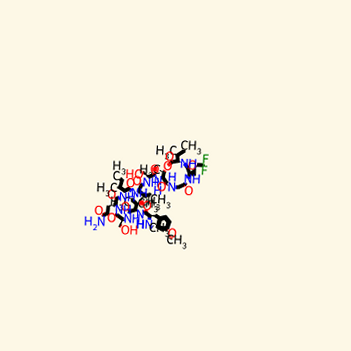 CC[C@H](C)[C@H](NC(=O)[C@@H](Cc1ccc(OC)cc1)NC)C(=O)N[C@@H](CO)C(=O)N[C@H](CCC(N)=O)C(=O)N[C@@H](C(=O)N[C@H](C(=O)N[C@@H](CO)C(=O)N[C@H]1C(=O)NCC(=O)N[C@@]2(C[C@H]2CC(F)F)C(=O)N[C@@H]([C@@H](C)CC)C(=O)O[C@H]1C)[C@@H](C)CC)[C@@H](C)CC